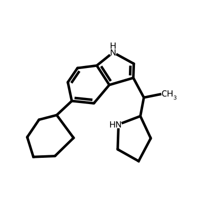 CC(c1c[nH]c2ccc(C3CCCCC3)cc12)C1CCCN1